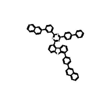 c1ccc(-c2ccc(-c3nc(-c4cccc(-c5ccc6ccccc6c5)c4)nc(-c4cccc5oc6c(-c7ccc(-c8ccc9ccccc9c8)cc7)cccc6c45)n3)cc2)cc1